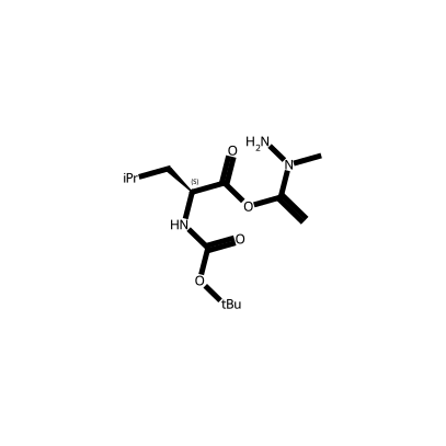 C=C(OC(=O)[C@H](CC(C)C)NC(=O)OC(C)(C)C)N(C)N